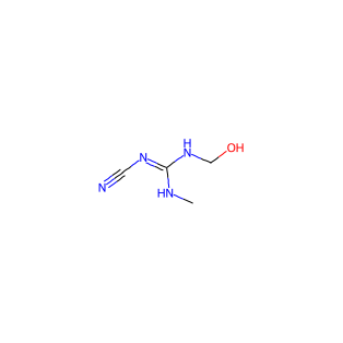 CN/C(=N\C#N)NCO